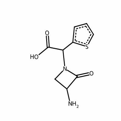 NC1CN(C(C(=O)O)c2cccs2)C1=O